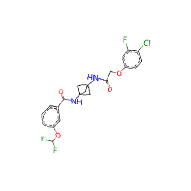 O=C(COc1ccc(Cl)c(F)c1)NC12CC(NC(=O)c3cccc(OC(F)F)c3)(C1)C2